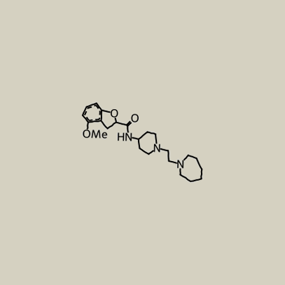 COc1cccc2c1CC(C(=O)NC1CCN(CCN3CCCCCC3)CC1)O2